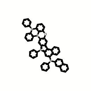 c1ccc(N2c3ccccc3B3c4cc5c(cc4Oc4cccc2c43)c2c3ccccc3c(N(c3ccccc3)c3ccc4ccccc4c3)cc2n5-c2ccccc2)cc1